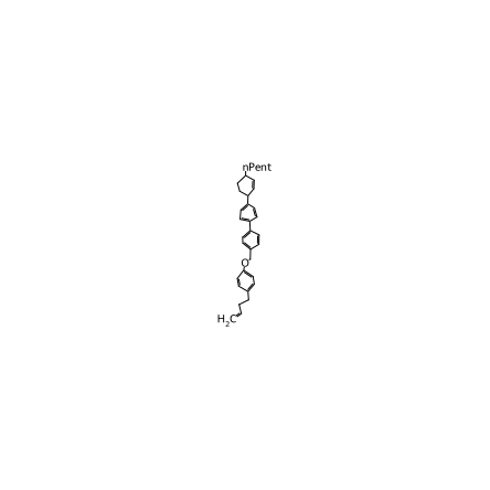 C=CCCc1ccc(OCc2ccc(-c3ccc(C4C=CC(CCCCC)CC4)cc3)cc2)cc1